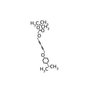 CC(C)c1ccc(OCC#CC#CCOCC(=O)OC(C)(C)C)cc1